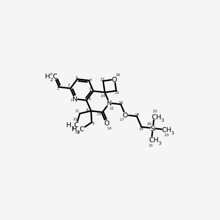 C=Cc1ccc2c(n1)C(CC)(CC)C(=O)N(COCC[Si](C)(C)C)C21COC1